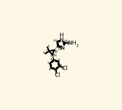 CC1(C)[C@H](c2ccc(Cl)c(Cl)c2)[C@H]1c1c[nH]c(N)n1